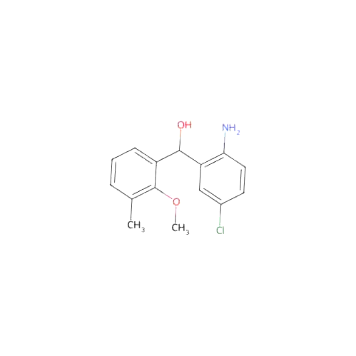 COc1c(C)cccc1C(O)c1cc(Cl)ccc1N